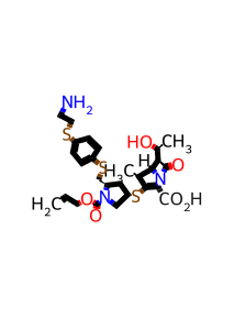 C=CCOC(=O)N1C[C@@H](SC2=C(C(=O)O)N3C(=O)[C@H]([C@@H](C)O)[C@H]3[C@H]2C)C[C@H]1CSc1ccc(SCCN)cc1